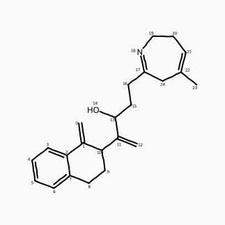 C=C1c2ccccc2CCC1C(=C)C(O)CCC1=NCCC=C(C)C1